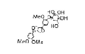 COc1ccc([C@H]2OCC3C2CO[C@H]3c2ccc(O[C@@H]3CC(CO)[C@@H](O)C(O)[C@@H]3O)c(OC)c2)cc1OC